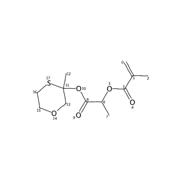 C=C(C)C(=O)OC(C)C(=O)OC1(C)COCCS1